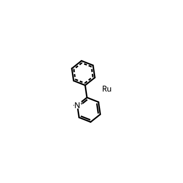 C1=C[N+]=C(c2ccccc2)C=C1.[Ru]